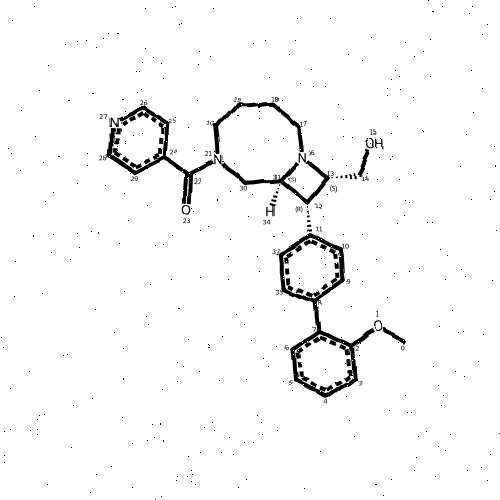 COc1ccccc1-c1ccc([C@H]2[C@@H](CO)N3CCCCN(C(=O)c4ccncc4)C[C@H]23)cc1